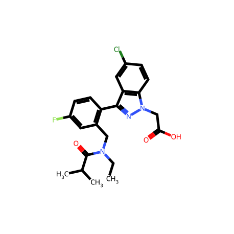 CCN(Cc1cc(F)ccc1-c1nn(CC(=O)O)c2ccc(Cl)cc12)C(=O)C(C)C